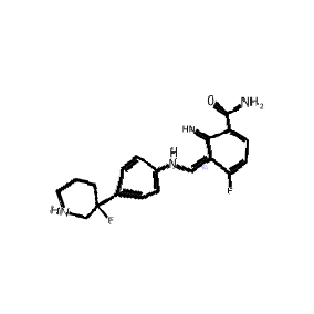 N=C1C(C(N)=O)=CC=C(F)/C1=C/Nc1ccc(C2(F)CCCNC2)cc1